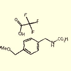 COCc1ccc(CNC(=O)O)cc1.O=C(O)C(F)(F)F